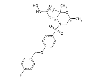 C[C@H]1CN(S(=O)(=O)c2ccc(OCc3ccc(F)cc3)cc2)[C@H](OC(=O)NO)C(C)(C)O1